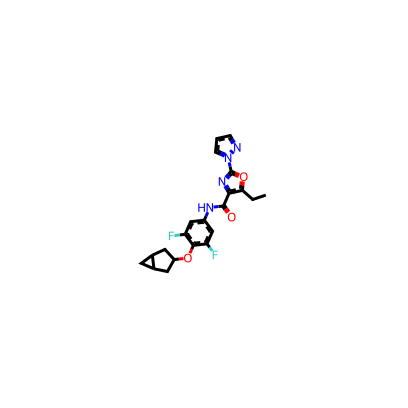 CCc1oc(-n2cccn2)nc1C(=O)Nc1cc(F)c(OC2CC3CC3C2)c(F)c1